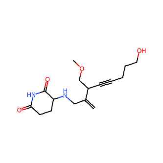 C=C(CNC1CCC(=O)NC1=O)C(C#CCCCO)COC